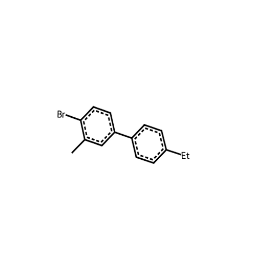 CCc1ccc(-c2ccc(Br)c(C)c2)cc1